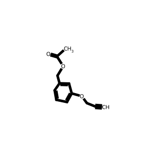 C#CCOc1cccc(COC(C)=O)c1